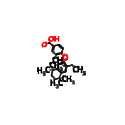 CCc1cc2c(cc1Oc1ccc(C(=O)O)cc1C)C(C)(C)CCC2(C)C